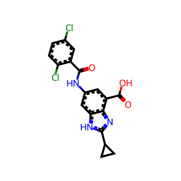 O=C(Nc1cc(C(=O)O)c2nc(C3CC3)[nH]c2c1)c1cc(Cl)ccc1Cl